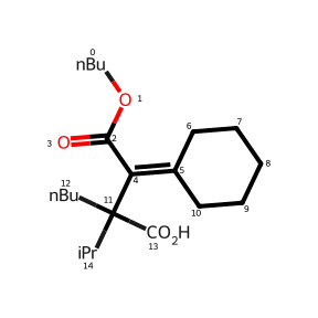 CCCCOC(=O)C(=C1CCCCC1)C(CCCC)(C(=O)O)C(C)C